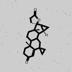 C[C@]12CCC(=O)C=C1C1(CC1)CC1C2CC[C@@]2(C)C1[C@@H]1CC1[C@@]21CCC(=O)O1